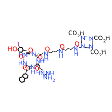 CN1C(=O)[C@@H](Cc2ccc(O)c(I)c2)NC(=O)CNC(=O)[C@H](CCc2ccc3ccccc3c2)NC(=O)[C@H](CCCNC(=N)N)NC(=O)[C@H]1CCCNC(=O)CCCCNC(=O)CCCCNC(=O)CN1CCN(CC(=O)O)CCN(CC(=O)O)CCN(CC(=O)O)CC1